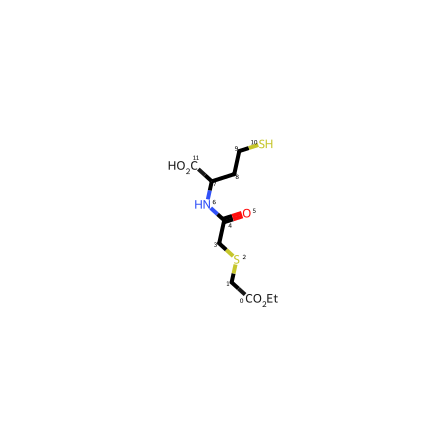 CCOC(=O)CSCC(=O)NC(CCS)C(=O)O